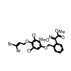 CO/N=C(/C(=O)OC)c1ccccc1COc1cc(Cl)c(OCC=C(Br)Br)c(Cl)c1